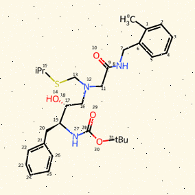 Cc1ccccc1CNC(=O)CN(CSC(C)C)C[C@@H](O)[C@H](Cc1ccccc1)NC(=O)OC(C)(C)C